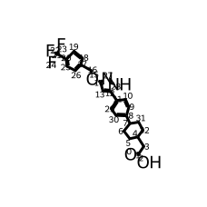 O=C(O)CC1CCC(c2ccc(-c3cc(OCc4ccc(C(F)(F)F)cc4)n[nH]3)cc2)CC1